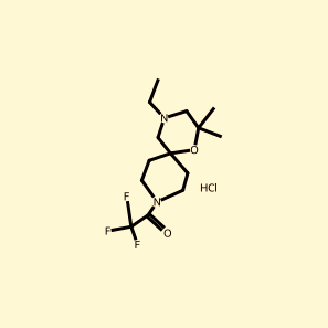 CCN1CC(C)(C)OC2(CCN(C(=O)C(F)(F)F)CC2)C1.Cl